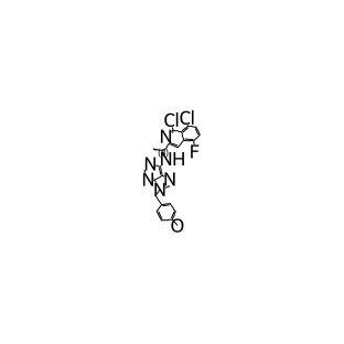 COc1ccc(Cn2cnc3c(N[C@@H](C)c4cc5c(F)ccc(Cl)c5c(Cl)n4)ncnc32)cc1